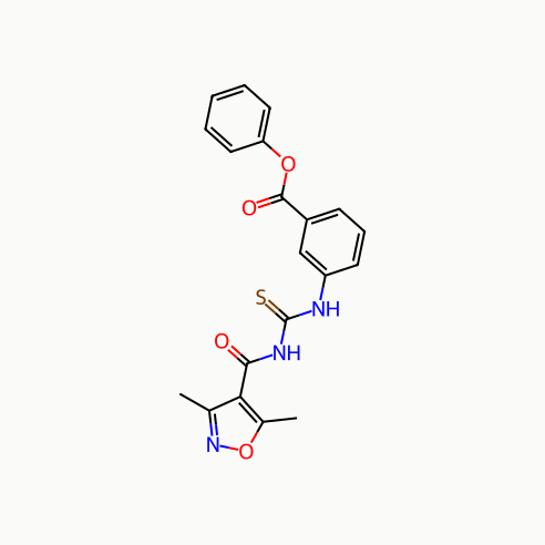 Cc1noc(C)c1C(=O)NC(=S)Nc1cccc(C(=O)Oc2ccccc2)c1